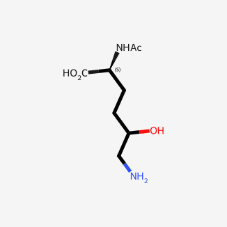 CC(=O)N[C@@H](CCC(O)CN)C(=O)O